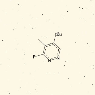 Cc1c(C(C)(C)C)cnnc1F